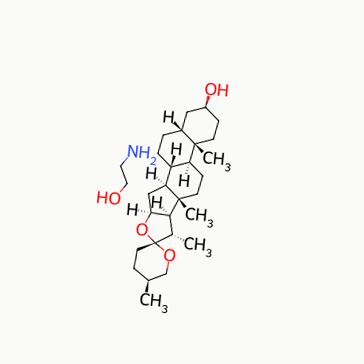 C[C@H]1CC[C@@]2(OC1)O[C@H]1C[C@H]3[C@@H]4CC[C@@H]5C[C@@H](O)CC[C@]5(C)[C@H]4CC[C@]3(C)[C@H]1[C@@H]2C.NCCO